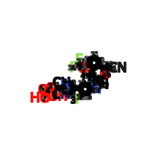 CC(C)(OP(=O)(O)O)c1ncc(-c2cc3c(cc2F)nc2n3[C@@H]3C[C@@H]2OC(=CC#N)c2cccc(OC(F)F)c23)cn1